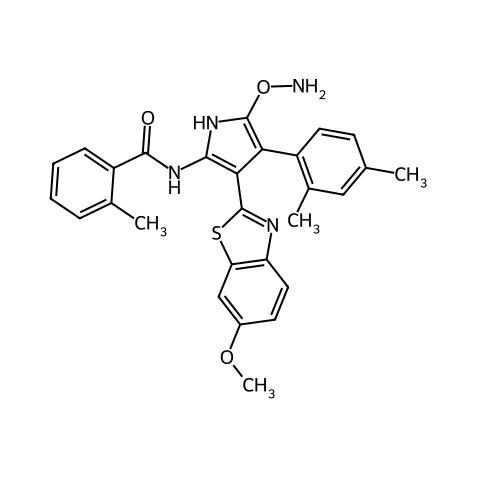 COc1ccc2nc(-c3c(NC(=O)c4ccccc4C)[nH]c(ON)c3-c3ccc(C)cc3C)sc2c1